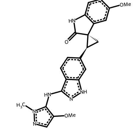 COc1ccc2c(c1)[C@]1(C[C@H]1c1ccc3c(Nc4c(OC)cnn4C)n[nH]c3c1)C(=O)N2